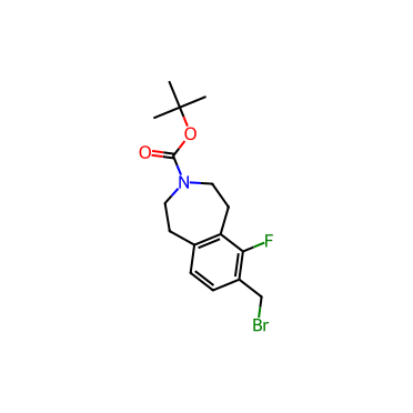 CC(C)(C)OC(=O)N1CCc2ccc(CBr)c(F)c2CC1